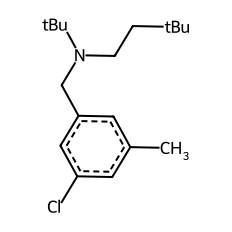 Cc1cc(Cl)cc(CN(CCC(C)(C)C)C(C)(C)C)c1